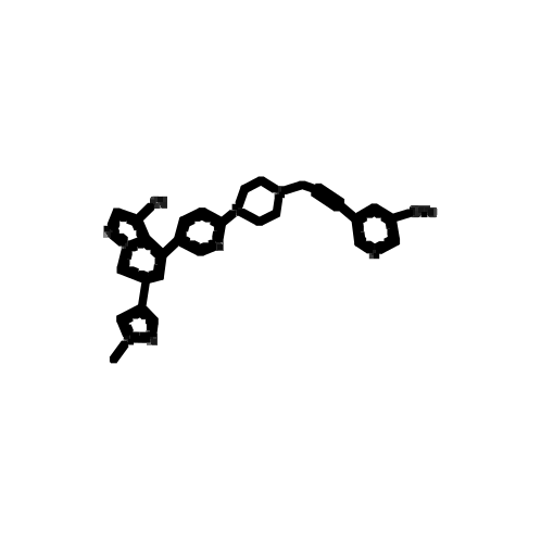 COc1cncc(C#CCN2CCN(c3ccc(-c4cc(-c5cnn(C)c5)cn5ncc(C#N)c45)cn3)CC2)c1